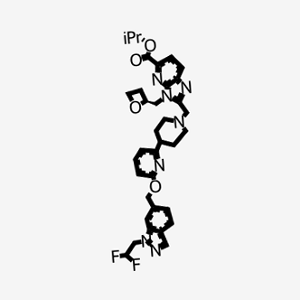 CC(C)OC(=O)c1ccc2nc(CN3CCC(c4cccc(OCc5ccc6cnn(CC(F)F)c6c5)n4)CC3)n(C[C@@H]3CCO3)c2n1